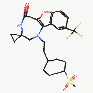 CS(=O)(=O)C1CCC(CCN2CC3(CC3)NC(=O)c3oc4ccc(C(F)(F)F)cc4c32)CC1